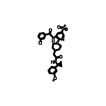 COc1cccc(C2(NC(=O)CC3CCN(c4ncc(S(C)(=O)=O)cc4NC(=O)c4cccc(Cl)c4)CC3)CC2)c1